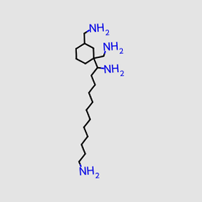 NCCCCCCCCCCCC(N)C1(CN)CCCC(CN)C1